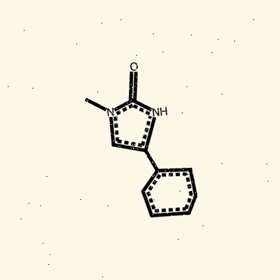 Cn1cc(-c2ccccc2)[nH]c1=O